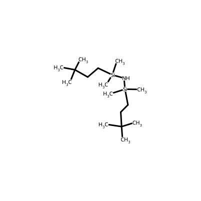 CC(C)(C)CC[Si](C)(C)N[Si](C)(C)CCC(C)(C)C